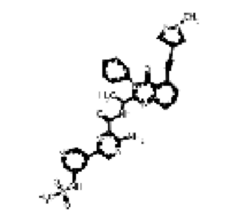 CC(NC(=O)c1nc(-c2cncc(NS(C)(=O)=O)c2)cnc1N)c1nc2cccc(C#Cc3cnn(C)c3)c2c(=O)n1-c1ccccc1